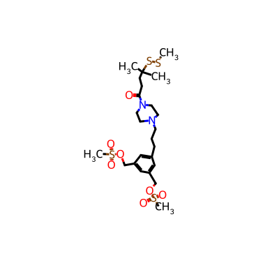 CSSC(C)(C)CCC(=O)N1CCN(CCCc2cc(COS(C)(=O)=O)cc(COS(C)(=O)=O)c2)CC1